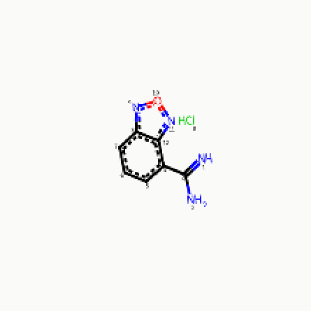 Cl.N=C(N)c1cccc2nonc12